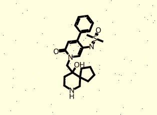 CS(C)(=O)=Nc1cn(CC2(O)CCNCC23CCCC3)c(=O)cc1-c1ccccc1